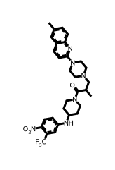 Cc1ccc2nc(N3CCN(CC(C)C(=O)N4CCC(Nc5ccc([N+](=O)[O-])c(C(F)(F)F)c5)CC4)CC3)ccc2c1